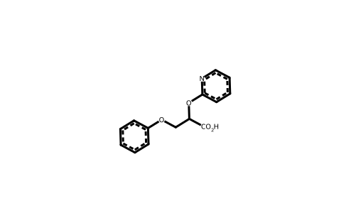 O=C(O)C(COc1ccccc1)Oc1ccccn1